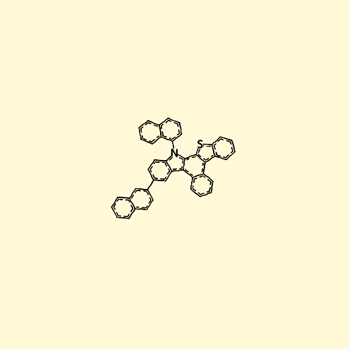 c1ccc2cc(-c3ccc4c(c3)c3c5ccccc5c5c6ccccc6sc5c3n4-c3cccc4ccccc34)ccc2c1